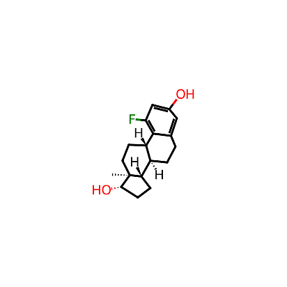 C[C@]12CC[C@@H]3c4c(F)cc(O)cc4CC[C@H]3[C@@H]1CC[C@@H]2O